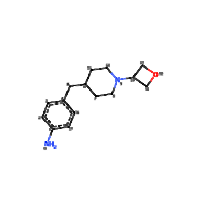 Nc1ccc(CC2CCN(C3COC3)CC2)cc1